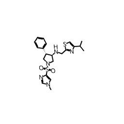 CC(C)c1csc(CN[C@H]2CN(S(=O)(=O)c3cn(C)cn3)C[C@@H]2c2ccccc2)n1